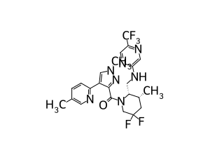 Cc1ccc(-c2cn(C)nc2C(=O)N2CC(F)(F)C[C@@H](C)[C@H]2CNc2cnc(C(F)(F)F)cn2)nc1